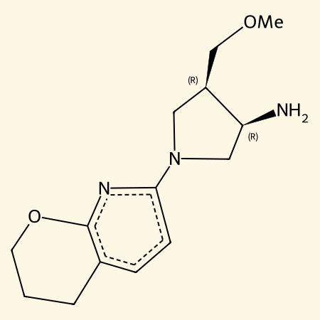 COC[C@@H]1CN(c2ccc3c(n2)OCCC3)C[C@@H]1N